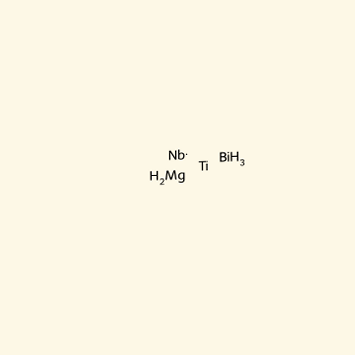 [BiH3].[MgH2].[Nb].[Ti]